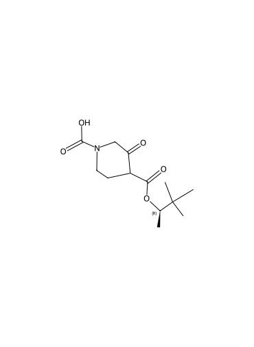 C[C@@H](OC(=O)C1CCN(C(=O)O)CC1=O)C(C)(C)C